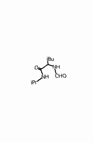 CCC(C)C(NC=O)C(=O)NC(C)C